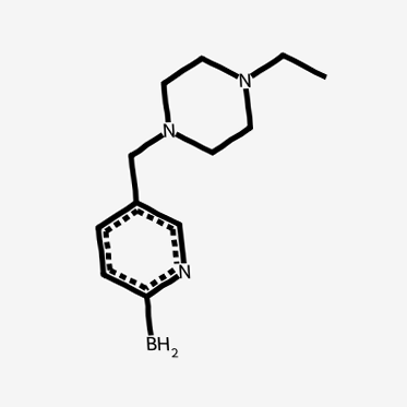 Bc1ccc(CN2CCN(CC)CC2)cn1